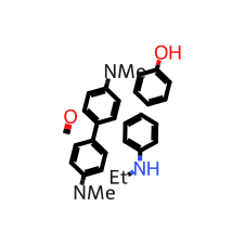 C=O.CCNc1ccccc1.CNc1ccc(-c2ccc(NC)cc2)cc1.Oc1ccccc1